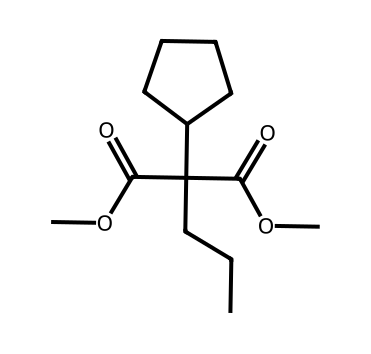 CCCC(C(=O)OC)(C(=O)OC)C1CCCC1